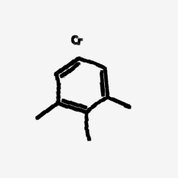 Cc1cccc(C)c1C.[Cr]